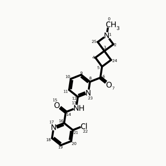 CN1CC2(CC(C(=O)c3cccc(NC(=O)c4ncccc4Cl)n3)C2)C1